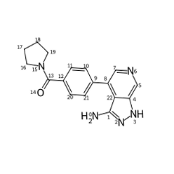 Nc1n[nH]c2cncc(-c3ccc(C(=O)N4CCCC4)cc3)c12